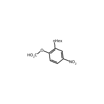 CCCCCCc1cc([N+](=O)[O-])ccc1OC(=O)O